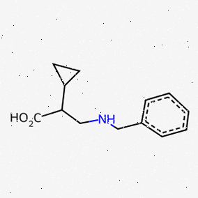 O=C(O)C(CNCc1ccccc1)C1CC1